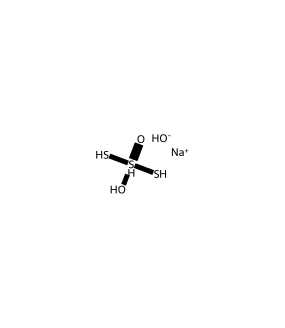 O=[SH](O)(S)S.[Na+].[OH-]